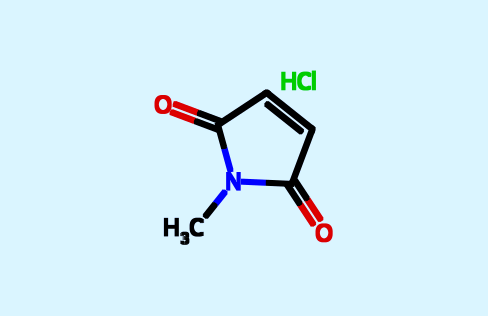 CN1C(=O)C=CC1=O.Cl